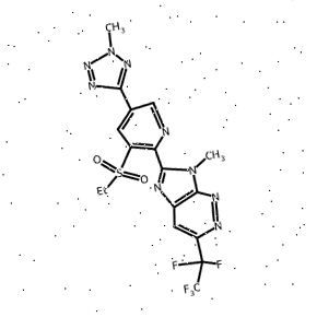 CCS(=O)(=O)c1cc(-c2nnn(C)n2)cnc1-c1nc2cc(C(F)(F)C(F)(F)F)nnc2n1C